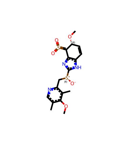 COc1c(C)cnc(C[S@+]([O-])c2nc3c([nH]2)C=C[C@@H](OC)C3=S(=O)=O)c1C